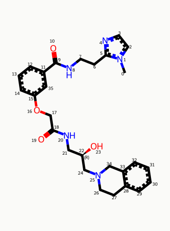 Cn1ccnc1CCNC(=O)c1cccc(OCC(=O)NC[C@@H](O)CN2CCc3ccccc3C2)c1